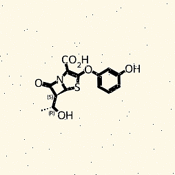 C[C@@H](O)[C@H]1C(=O)N2C(C(=O)O)=C(Oc3cccc(O)c3)SC12